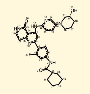 O=C(Nc1ccc(-c2cc(Nc3ccc(N4CCC[C@@H](O)C4)cn3)c3c(=O)[nH]ccc3n2)c(F)c1)C1CCCCC1